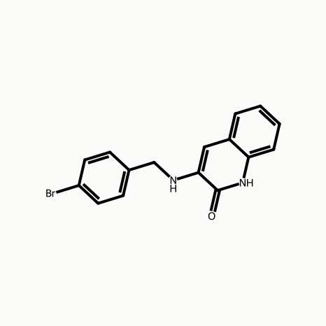 O=c1[nH]c2ccccc2cc1NCc1ccc(Br)cc1